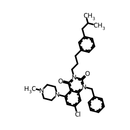 CC(C)Cc1cccc(CCCn2c(=O)c3c(N4CCN(C)CC4)cc(Cl)cc3n(Cc3ccccc3)c2=O)c1